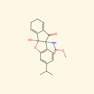 COC(=O)NC12C(=O)C3=CCCC=C3C1(O)Oc1cc(C(C)C)ccc12